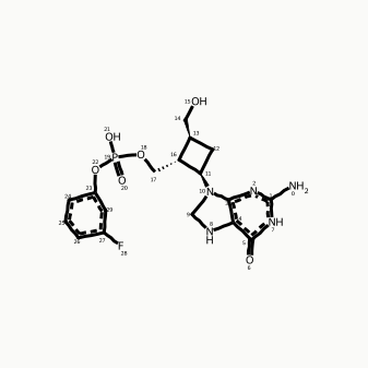 Nc1nc2c(c(=O)[nH]1)NCN2[C@@H]1C[C@H](CO)[C@H]1COP(=O)(O)Oc1cccc(F)c1